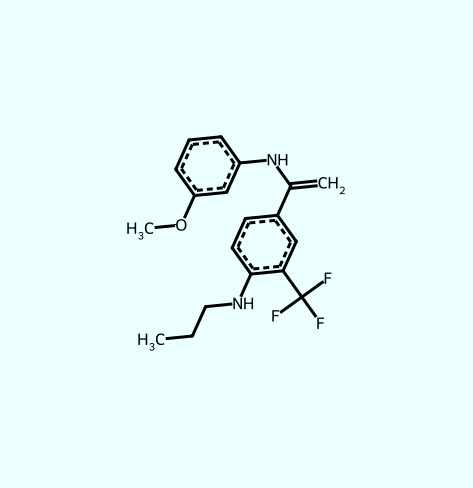 C=C(Nc1cccc(OC)c1)c1ccc(NCCC)c(C(F)(F)F)c1